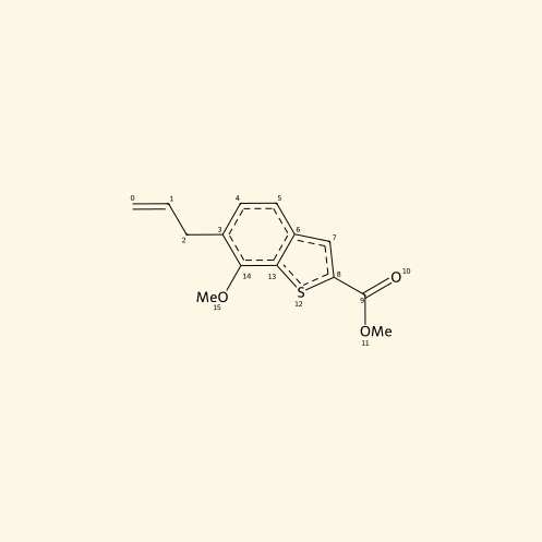 C=CCc1ccc2cc(C(=O)OC)sc2c1OC